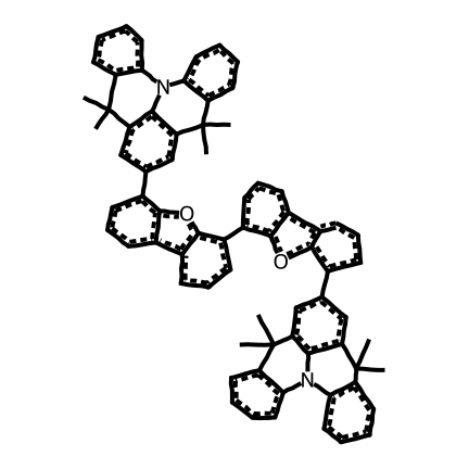 CC1(C)c2ccccc2N2c3ccccc3C(C)(C)c3cc(-c4cccc5c4oc4c(-c6cccc7c6oc6c(-c8cc9c%10c(c8)C(C)(C)c8ccccc8N%10c8ccccc8C9(C)C)cccc67)cccc45)cc1c32